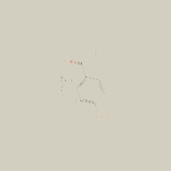 C[CH2][Na].O=C(O)c1ccc(O)cc1